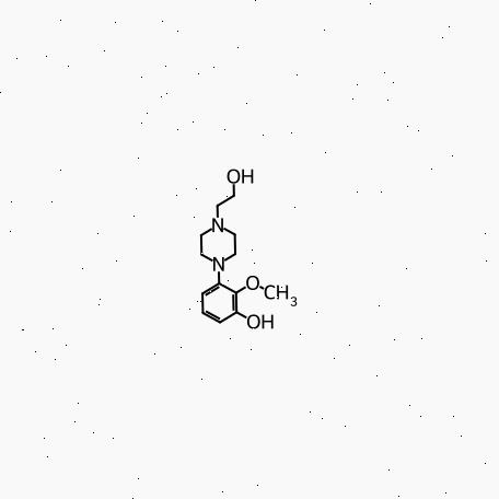 COc1c(O)cccc1N1CCN(CCO)CC1